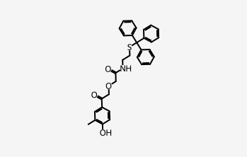 Cc1cc(C(=O)COCC(=O)NCCSC(c2ccccc2)(c2ccccc2)c2ccccc2)ccc1O